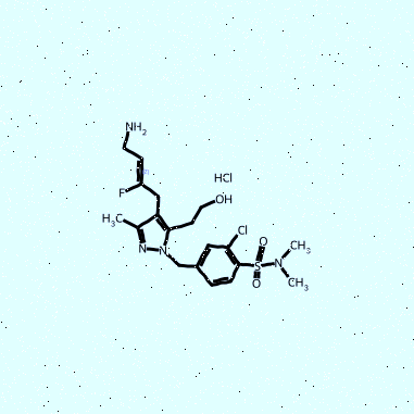 Cc1nn(Cc2ccc(S(=O)(=O)N(C)C)c(Cl)c2)c(CCO)c1C/C(F)=C/CN.Cl